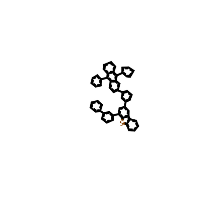 c1ccc(-c2cccc(-c3cc(-c4cccc(-c5ccc6c(-c7ccccc7)c7ccccc7c(-c7ccccc7)c6c5)c4)cc4c3sc3ccccc34)c2)cc1